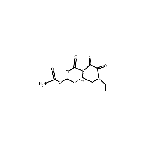 CCN1C[C@H](CCOC(N)=O)N(C(=O)Cl)C(=O)C1=O